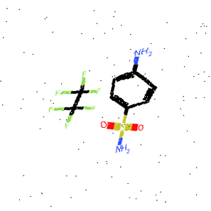 FC(F)(F)C(F)(F)F.Nc1ccc(S(N)(=O)=O)cc1